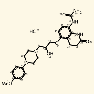 COc1ccc(N2CCN(CC(O)COc3ccc(NC(N)=O)c4c3CCC(=O)N4)CC2)cc1.Cl